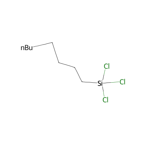 [CH2]CCCCCCC[Si](Cl)(Cl)Cl